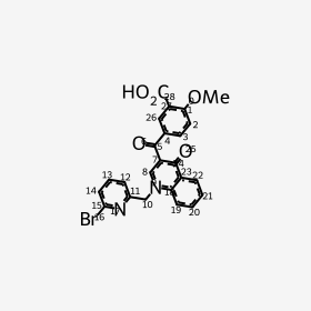 COc1ccc(C(=O)c2cn(Cc3cccc(Br)n3)c3ccccc3c2=O)cc1C(=O)O